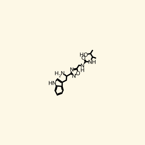 CC(O)C(C)NC(=O)NCc1nc(C(N)Cc2c[nH]c3ccccc23)no1